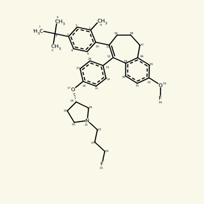 Cc1cc(C(C)(C)C)ccc1C1=C(c2ccc(O[C@H]3CCN(CCCF)C3)cc2)c2ccc(OF)cc2CCC1